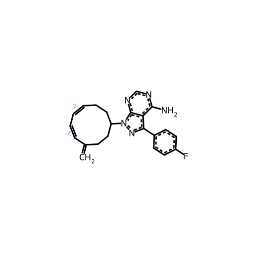 C=C1/C=C\C=C/CCC(n2nc(-c3ccc(F)cc3)c3c(N)ncnc32)CC1